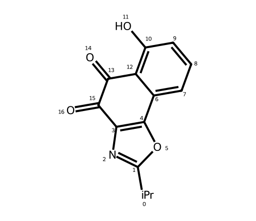 CC(C)c1nc2c(o1)-c1cccc(O)c1C(=O)C2=O